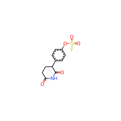 O=C1CCC(c2ccc(OS(=O)(=O)F)cc2)C(=O)N1